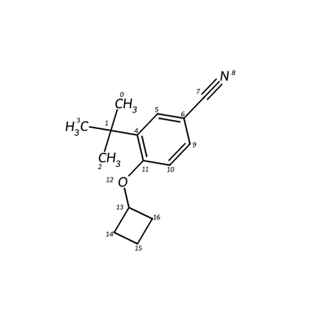 CC(C)(C)c1cc(C#N)ccc1OC1CCC1